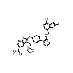 COC(=O)c1ccc2nc(CC3CC=C(c4ccccc4OCc4ccc(Cl)c5cc(F)oc45)CC3)n(C[C@@H]3CCO3)c2c1